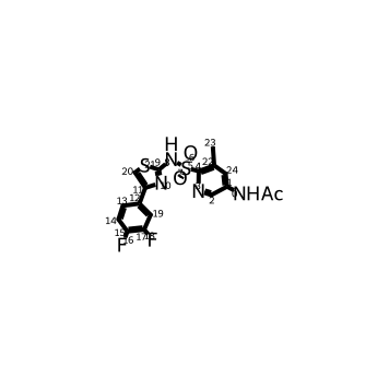 CC(=O)Nc1cnc(S(=O)(=O)Nc2nc(-c3ccc(F)c(F)c3)cs2)c(C)c1